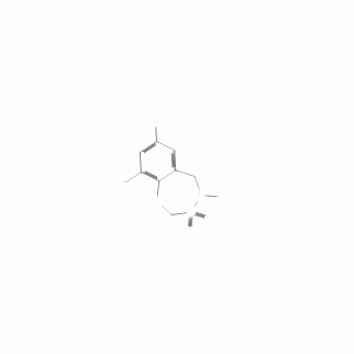 CC(C)c1cc(Cl)c2c(c1)CN(C)S(=O)(=O)CO2